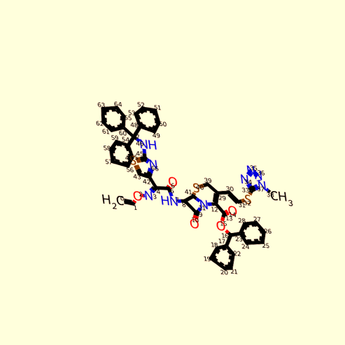 C=CON=C(C(=O)NC1C(=O)N2C(C(=O)OC(c3ccccc3)c3ccccc3)=C(C=CSc3nnnn3C)CSC12)c1csc(NC(c2ccccc2)(c2ccccc2)c2ccccc2)n1